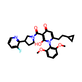 COc1cccc(OC)c1-n1c(CCC2CC2)cc(=O)c(C(=O)N2CCC(c3ncccc3F)C2)c1O